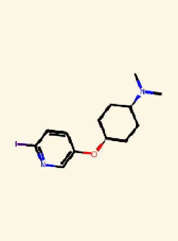 CN(C)[C@H]1CC[C@@H](Oc2ccc(I)nc2)CC1